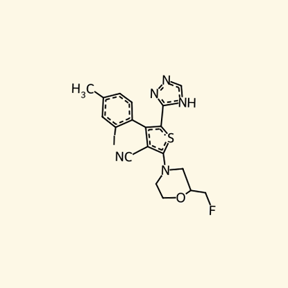 Cc1ccc(-c2c(-c3nnc[nH]3)sc(N3CCOC(CF)C3)c2C#N)c(I)c1